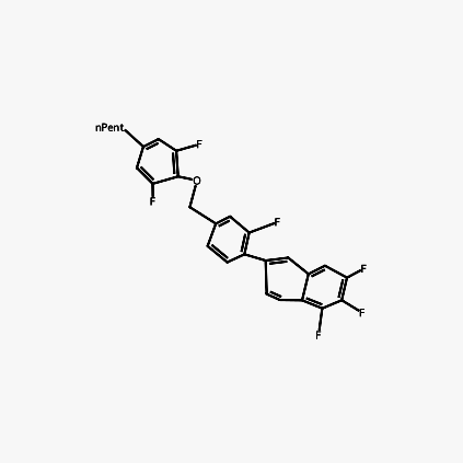 CCCCCc1cc(F)c(OCc2ccc(-c3ccc4c(F)c(F)c(F)cc4c3)c(F)c2)c(F)c1